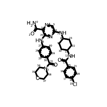 NC(=O)c1ncc(NC2CCC(NC(=O)c3ccc(Cl)cc3)CC2)nc1Nc1ccc(C(=O)N2CCOCC2)cc1